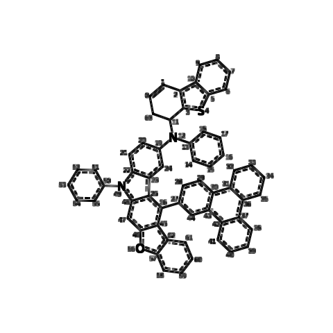 C1=Cc2c(sc3ccccc23)C(N(c2ccccc2)c2ccc3c(c2)c2c(-c4ccc5c6ccccc6c6ccccc6c5c4)c4c(cc2n3-c2ccccc2)oc2ccccc24)C1